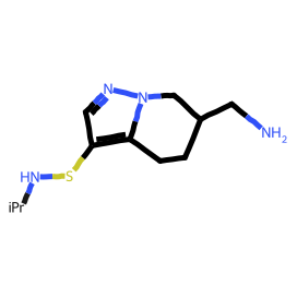 CC(C)NSc1cnn2c1CCC(CN)C2